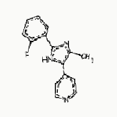 Cc1nc(-c2ccccc2F)[nH]c1-c1ccncc1